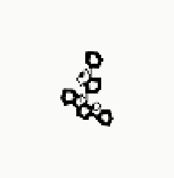 c1ccc(-n2cnc3c(-n4c5ccccc5c5ccc6c7ccccc7oc6c54)cccc32)cc1